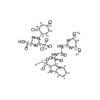 CCS(=O)(=O)c1nc2ccccn2c1S(=O)(=O)NC(=O)Nc1nc(OC)cc(OC)n1.O=C(O)c1nc(C(Cl)(Cl)Cl)n(-c2ccc(Cl)cc2Cl)n1